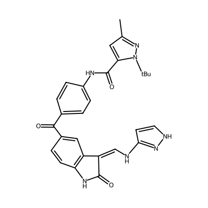 Cc1cc(C(=O)Nc2ccc(C(=O)c3ccc4c(c3)/C(=C/Nc3cc[nH]n3)C(=O)N4)cc2)n(C(C)(C)C)n1